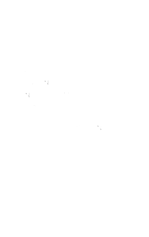 CN1C(=O)C(=Cc2ccc(N(c3ccccc3)c3cccc4ccccc34)[te]2)C(=O)N(C)C1=S